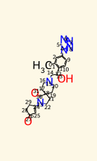 Cc1cc(-n2cnnn2)ccc1C(O)CN1CCC2(CC1)CCN(C1=CC(=O)CC1)C2=O